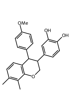 COc1ccc(C2c3ccc(C)c(C)c3OCC2c2ccc(O)c(O)c2)cc1